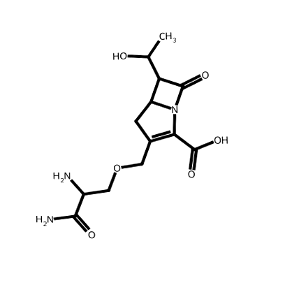 CC(O)C1C(=O)N2C(C(=O)O)=C(COCC(N)C(N)=O)CC12